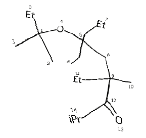 CCC(C)(C)OC(C)(CC)CC(C)(CC)C(=O)C(C)C